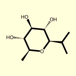 CC(C)[C@H]1O[C@@H](C)[C@H](O)[C@@H](O)[C@@H]1O